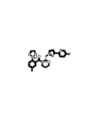 Cc1ccc(N2N=CCN2)c(C(=O)N2CCCO[C@H]2Cn2ccc(-c3ccc(F)cn3)n2)c1